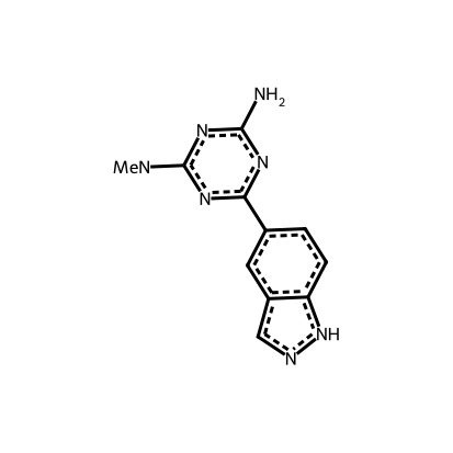 CNc1nc(N)nc(-c2ccc3[nH]ncc3c2)n1